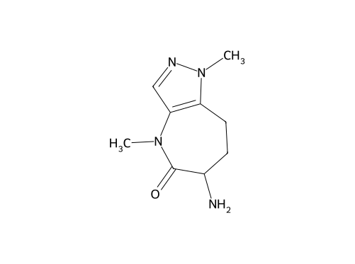 CN1C(=O)C(N)CCc2c1cnn2C